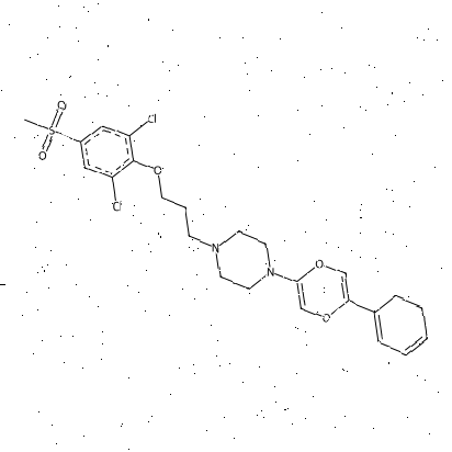 CS(=O)(=O)c1cc(Cl)c(OCCCN2CCN(C3=COC(C4=CC=CCC4)=CO3)CC2)c(Cl)c1